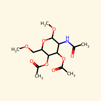 COCC1OC(OC)C(NC(C)=O)C(OC(C)=O)C1OC(C)=O